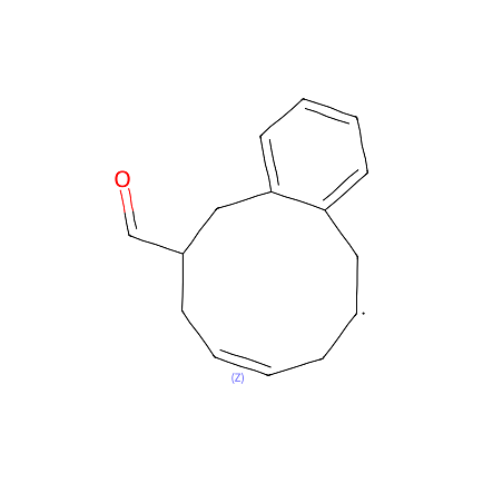 O=CC1C/C=C\C[CH]Cc2ccccc2C1